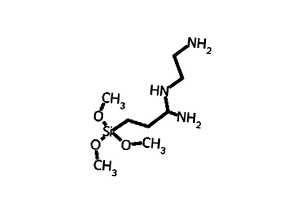 CO[Si](CCC(N)NCCN)(OC)OC